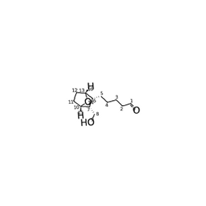 O=CCCCC[C@@H]1[C@H](CO)[C@@H]2CC[C@H]1O2